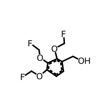 OCc1ccc(OCF)c(OCF)c1OCF